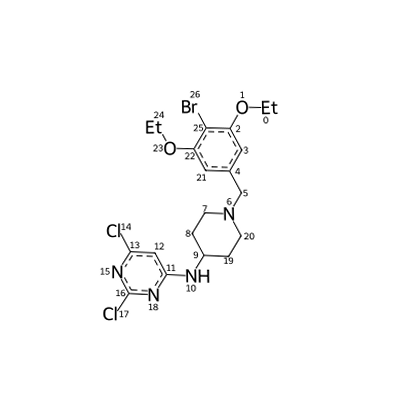 CCOc1cc(CN2CCC(Nc3cc(Cl)nc(Cl)n3)CC2)cc(OCC)c1Br